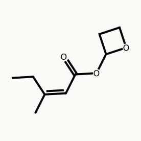 CCC(C)=CC(=O)OC1CCO1